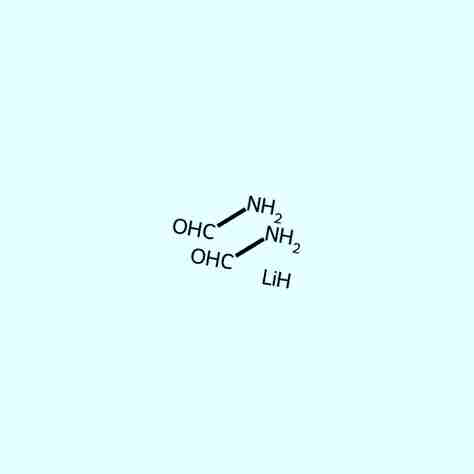 NC=O.NC=O.[LiH]